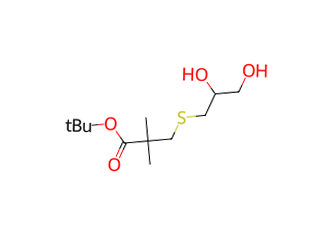 CC(C)(C)OC(=O)C(C)(C)CSCC(O)CO